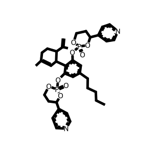 C=C(C)C1CCC(C)=CC1c1c(OP2(=O)OCCC(c3ccncc3)O2)cc(CCCCC)cc1OP1(=O)OCCC(c2ccncc2)O1